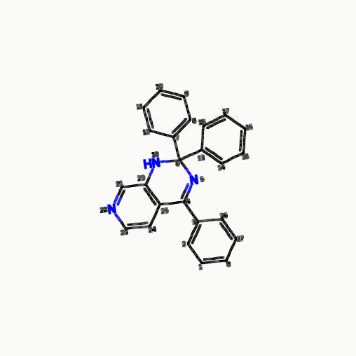 c1ccc(C2=NC(c3ccccc3)(c3ccccc3)Nc3cnccc32)cc1